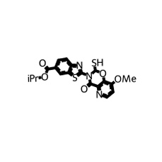 COc1ccnc2c1OC(S)N(c1nc3ccc(C(=O)OC(C)C)cc3s1)C2=O